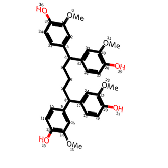 COc1cc(C(CCCC(c2ccc(O)c(OC)c2)c2ccc(O)c(OC)c2)c2ccc(O)c(OC)c2)ccc1O